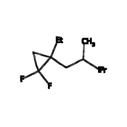 CCC1(CC(C)C(C)C)CC1(F)F